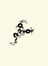 COCCn1cccc(N2C[C@@H](c3c(F)cc(OC)cc3F)[C@H](NC(=O)c3ccc(C(F)(F)F)cc3)C2=O)c1=O